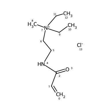 C=CC(=O)NCC[N+](C)(CC)CC.[Cl-]